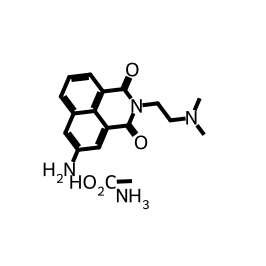 CC(=O)O.CN(C)CCN1C(=O)c2cccc3cc(N)cc(c23)C1=O.N